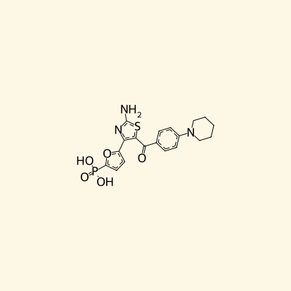 Nc1nc(-c2ccc(P(=O)(O)O)o2)c(C(=O)c2ccc(N3CCCCC3)cc2)s1